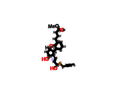 CC#CCS[C@H](O)/C=C/[C@@H]1C2c3cccc(CCCC(=O)OC)c3O[C@H]2C[C@H]1O